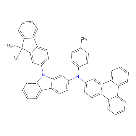 Cc1ccc(N(c2ccc3c4ccccc4c4ccccc4c3c2)c2ccc3c4ccccc4n(-c4ccc5c(c4)C(C)(C)c4ccccc4-5)c3c2)cc1